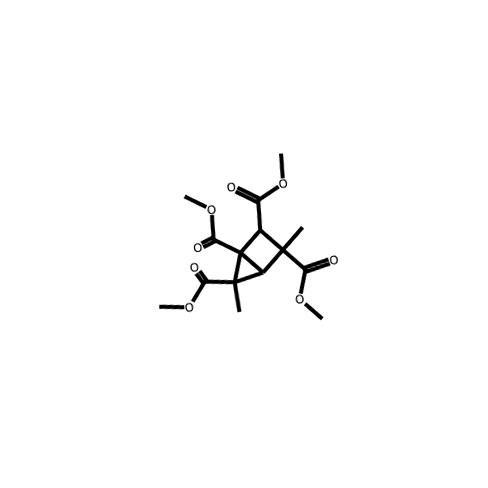 COC(=O)C1C(C)(C(=O)OC)C2C(C)(C(=O)OC)C12C(=O)OC